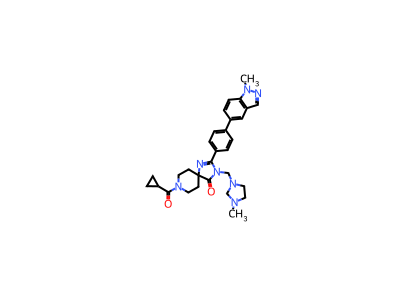 CN1CCN(CN2C(=O)C3(CCN(C(=O)C4CC4)CC3)N=C2c2ccc(-c3ccc4c(cnn4C)c3)cc2)C1